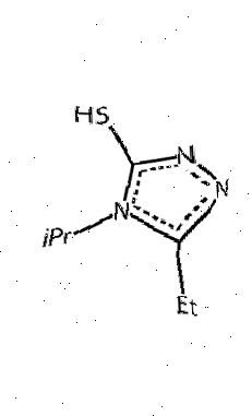 CCc1nnc(S)n1C(C)C